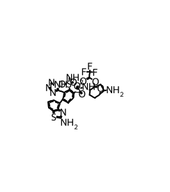 Nc1nc2c(-c3ccc(S(=O)(=O)NC4CCC5OC4(OC(=O)C(F)(F)F)CC5N)c(S(N)(=O)=O)c3-c3nnn[nH]3)cccc2s1